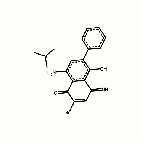 CN(C)C.N=C1C=C(Br)C(=O)c2c(N)cc(-c3ccccc3)c(O)c21